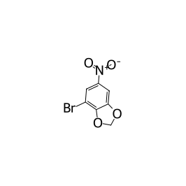 O=[N+]([O-])c1cc(Br)c2c(c1)OCO2